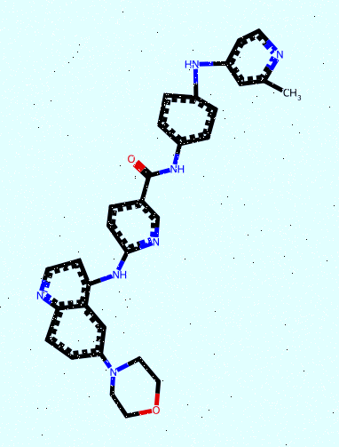 Cc1cc(Nc2ccc(NC(=O)c3ccc(Nc4ccnc5ccc(N6CCOCC6)cc45)nc3)cc2)ccn1